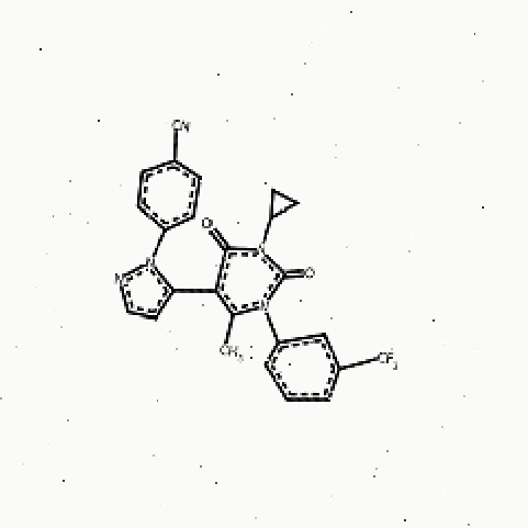 Cc1c(-c2ccnn2-c2ccc(C#N)cc2)c(=O)n(C2CC2)c(=O)n1-c1cccc(C(F)(F)F)c1